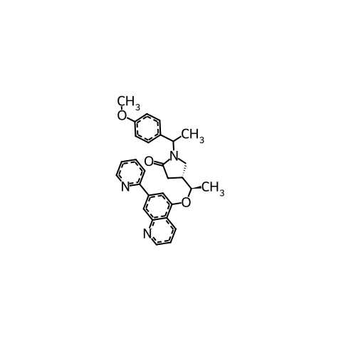 COc1ccc(C(C)N2C[C@H]([C@@H](C)Oc3cc(-c4ccccn4)cc4ncccc34)CC2=O)cc1